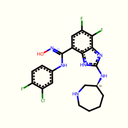 O/N=C(\Nc1ccc(F)c(Cl)c1)c1cc(F)c(F)c2nc(N[C@H]3CCCCNC3)[nH]c12